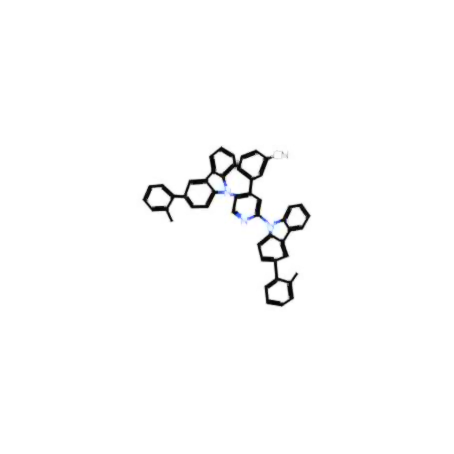 Cc1ccccc1-c1ccc2c(c1)c1ccccc1n2-c1cc(-c2cccc(C#N)c2)c(-n2c3ccccc3c3cc(-c4ccccc4C)ccc32)cn1